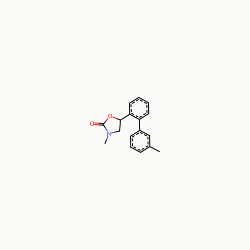 Cc1cccc(-c2ccccc2C2CN(C)C(=O)O2)c1